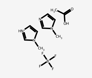 CC(=O)O.Cn1cc[nH+]c1.Cn1ccnc1.F[B-](F)(F)F